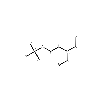 CCN(CC)CCSC(C)(C)C